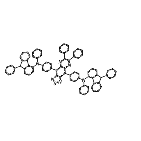 c1ccc(-c2nc3c(-c4ccc(N(c5ccccc5)c5cccc6c5-c5ccccc5C6c5ccccc5)cc4)c4nsnc4c(-c4ccc(N(c5ccccc5)c5cccc6c5-c5ccccc5C6c5ccccc5)cc4)c3nc2-c2ccccc2)cc1